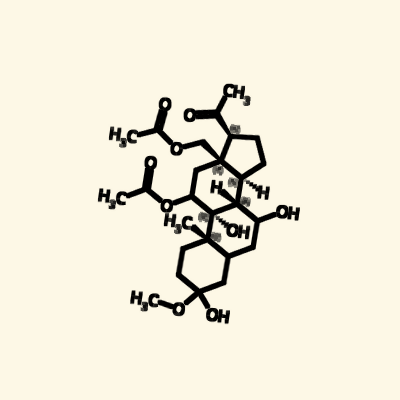 COC1(O)CC[C@@]2(C)C(CC(O)[C@H]3[C@@H]4CC[C@H](C(C)=O)[C@@]4(COC(C)=O)CC(OC(C)=O)[C@@]32O)C1